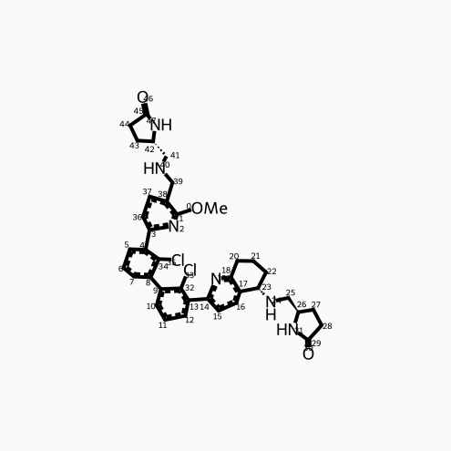 COc1nc(-c2cccc(-c3cccc(-c4ccc5c(n4)CCC[C@@H]5NC[C@H]4CCC(=O)N4)c3Cl)c2Cl)ccc1CNC[C@@H]1CCC(=O)N1